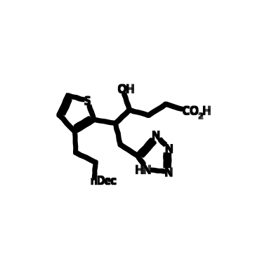 CCCCCCCCCCCCc1ccsc1C(Cc1nnn[nH]1)C(O)CCC(=O)O